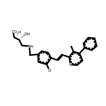 Cc1c(-c2ccccc2)ccnc1/C=C/c1ccc(CNC[C@@H](O)CC(=O)O)cc1Cl